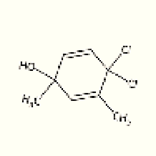 CC1=CC(C)(O)C=CC1(Cl)Cl